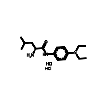 CCN(CC)c1ccc(NC(=O)[C@@H](N)CC(C)C)cc1.Cl.Cl